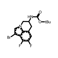 CC(C)(C)OC(=O)NC1Cc2cc(F)c(F)c3c(Br)cn(c23)C1